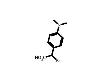 CN(C)c1ccc(C(Br)C(=O)O)cc1